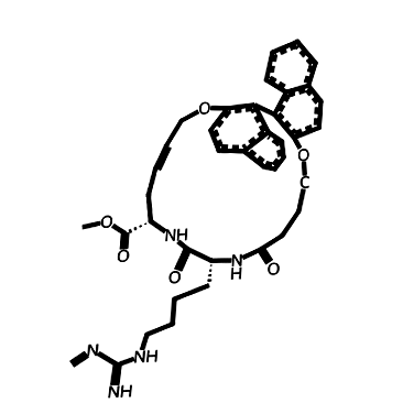 C=NC(=N)NCCCC[C@H]1NC(=O)CCCOc2ccc3ccccc3c2-c2c(ccc3ccccc23)OC/C=C/C[C@@H](C(=O)OC)NC1=O